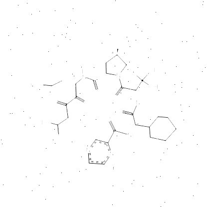 CCC[C@H](NC(=O)[C@@H]1C[C@@H](C)CN1C(=O)[C@@H](NC(=O)[C@@H](NC(=O)c1cnccn1)C1CCCCC1)C(C)(C)C)C(=O)C(=O)CC(C)C